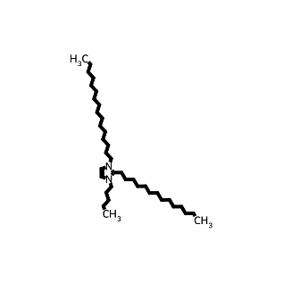 CCCCCCCCCCCCCCCCN1C=CN(CCCCC)C1CCCCCCCCCCCCCC